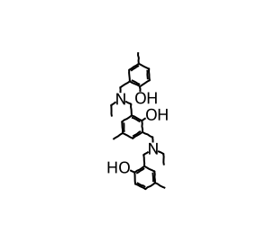 CCN(Cc1cc(C)ccc1O)Cc1cc(C)cc(CN(CC)Cc2cc(C)ccc2O)c1O